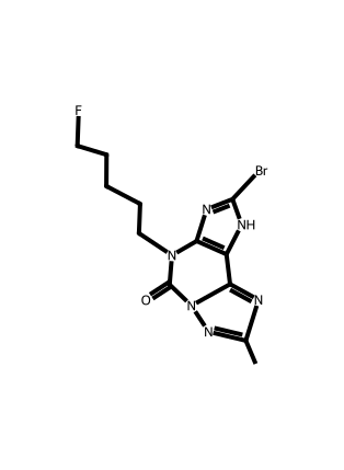 Cc1nc2c3[nH]c(Br)nc3n(CCCCCF)c(=O)n2n1